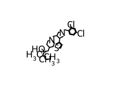 CC(C)(C)[C@@H](O)CC1CCN(CC2CN(Cc3ccc(Cl)cc3Cl)CC2c2ccsc2)CC1